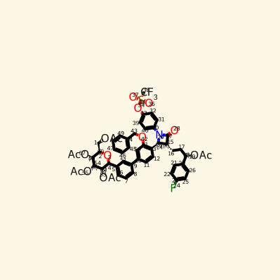 CC(=O)OC[C@H]1OC(c2cccc(-c3ccc([C@@H]4[C@@H](CC[C@H](OC(C)=O)c5ccc(F)cc5)C(=O)N4c4ccc(OS(=O)(=O)C(F)(F)F)cc4)c(OCc4ccccc4)c3)c2)[C@H](OC(C)=O)[C@@H](OC(C)=O)[C@@H]1OC(C)=O